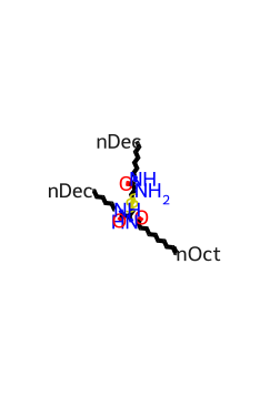 CCCCCCCC/C=C/CCCCCCCC(=O)NC(CSSCC(N)C(=O)NCCCCCCCCCCCCCCCC)C(=O)NCCCCCCCCCCCCCCCC